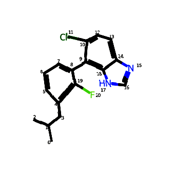 CC(C)Cc1cccc(-c2c(Cl)ccc3nc[nH]c23)c1F